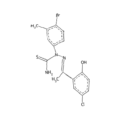 C/C(=N\N(C(N)=S)c1ccc(Br)c(C)c1)c1cc(Cl)ccc1O